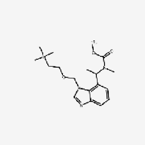 CC(c1cccc2ncn(COCC[Si](C)(C)C)c12)N(C)C(=O)OC(C)(C)C